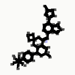 Cc1cn(-c2ccc(/C=C3\CC4(COC4)CN4C3=NN(C)CC4c3ccc(S(F)(F)(F)(F)F)cc3)c3cnoc23)cn1